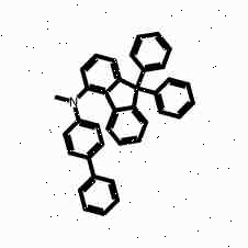 CN(c1ccc(-c2ccccc2)cc1)c1cccc2c1-c1ccccc1C2(c1ccccc1)c1ccccc1